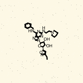 CCc1cc([C@H]2O[C@@H](n3cnc4c(NCc5ccccc5)nc(NCCN5CCCCC5)nc43)[C@H](O)[C@@H]2O)on1